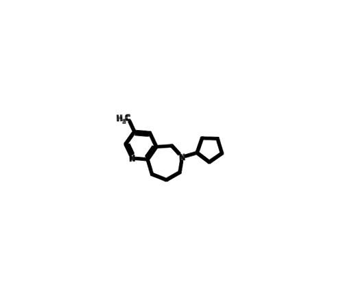 Cc1cnc2c(c1)CN(C1CCCC1)CCC2